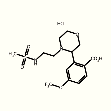 CS(=O)(=O)NCCN1CCOCC1c1cc(OC(F)(F)F)ccc1C(=O)O.Cl